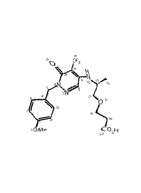 COc1ccc(Cn2ncc(N[C@@H](C)COCCC(=O)O)c(C(F)(F)F)c2=O)cc1